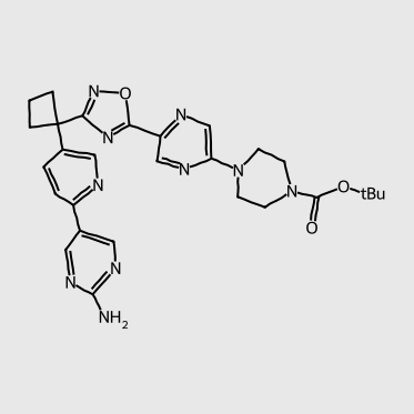 CC(C)(C)OC(=O)N1CCN(c2cnc(-c3nc(C4(c5ccc(-c6cnc(N)nc6)nc5)CCC4)no3)cn2)CC1